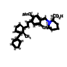 COc1cc(CN2CCCCC2C(=O)O)c(OC)cc1C=Cc1cccc(-c2ccccc2)c1C